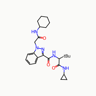 CC(C)(C)C(NC(=O)c1nn(CC(=O)NC2CCCCC2)c2ccccc12)C(=O)NC1CC1